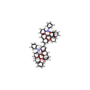 CC12C=C(c3ccc(-c4cc(C5CCCCC5)c5c(-c6ccccc6N(c6ccccc6)c6ccccc6-c6cccc7c6sc6ccccc67)cccc5c4)cc3N(c3ccccc3)c3ccccc3-c3cccc4cccc(C5CCCCC5)c34)C=CC1c1ccccc1O2